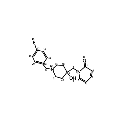 O=c1ccccn1CC1(O)CCN(Cc2ccc(F)cc2)CC1